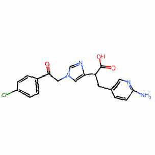 Nc1ccc(CC(C(=O)O)c2cn(CC(=O)c3ccc(Cl)cc3)cn2)cn1